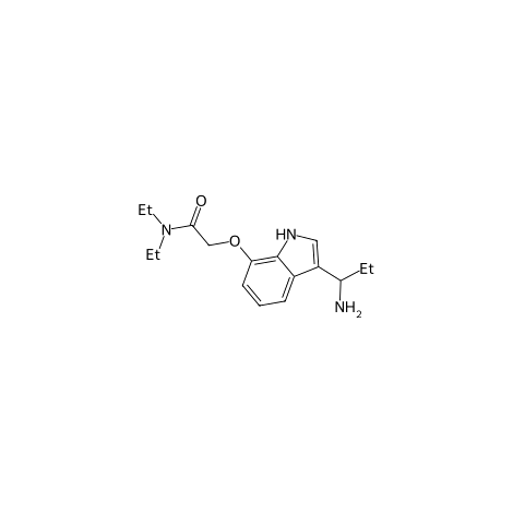 CCC(N)c1c[nH]c2c(OCC(=O)N(CC)CC)cccc12